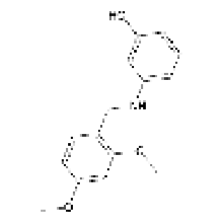 COc1ccc(CNc2cccc(O)c2)c(OC)c1